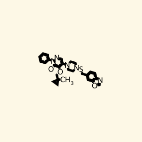 CC1(COc2c(N3CCN(SCc4ccc5ncoc5c4)CC3)cnn(-c3ccccc3)c2=O)CC1